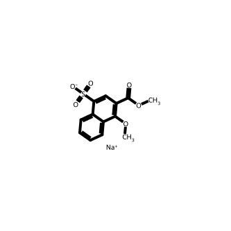 COC(=O)c1cc(S(=O)(=O)[O-])c2ccccc2c1OC.[Na+]